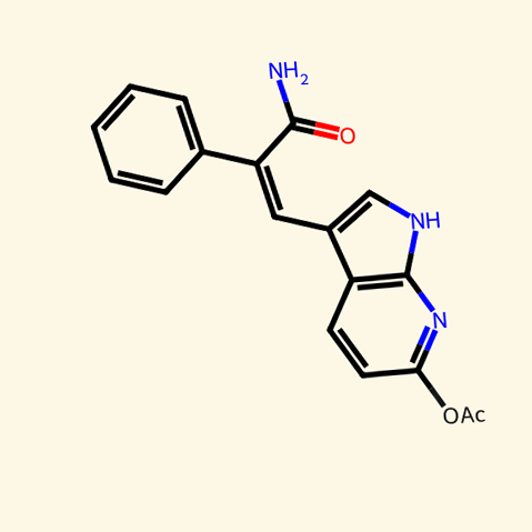 CC(=O)Oc1ccc2c(/C=C(\C(N)=O)c3ccccc3)c[nH]c2n1